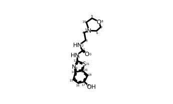 O=C(NCCN1CCOCC1)Nc1nc2ccc(O)cc2s1